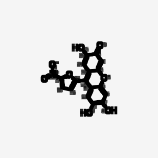 O=c1cc2oc3cc(O)c(O)cc3c(-c3ccc([N+](=O)[O-])o3)c-2cc1O